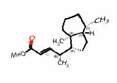 COC(=O)/C=C/[C@@H](C)[C@H]1CC[C@H]2[C@@H](C)CCC[C@]12C